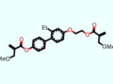 C=C(COC)C(=O)OCCOc1ccc(-c2ccc(OC(=O)C(=C)COC)cc2)c(CC)c1